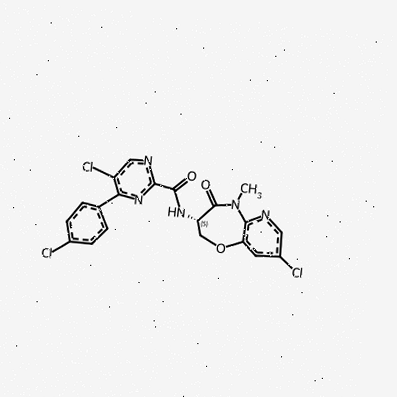 CN1C(=O)[C@@H](NC(=O)c2ncc(Cl)c(-c3ccc(Cl)cc3)n2)COc2cc(Cl)cnc21